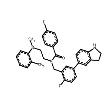 Cc1ccccc1N(C)CCN(Cc1cc(-c2ccc3c(c2)CCN3)ccc1F)C(=O)c1ccc(F)cc1